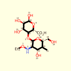 CCONC1C(OC2[C@@H](C(=O)O)O[C@H](O)[C@H](O)[C@H]2O)O[C@H](CO)C(C)[C@@H]1O